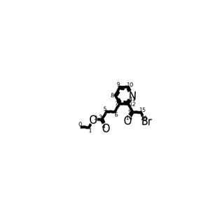 CCOC(=O)CCc1cccnc1C(=O)CBr